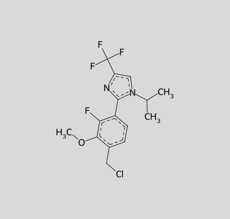 COc1c(CCl)ccc(-c2nc(C(F)(F)F)cn2C(C)C)c1F